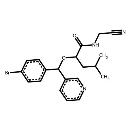 CC(C)CC(OC(c1ccc(Br)cc1)c1cccnc1)C(=O)NCC#N